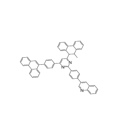 CC1c2ccccc2-c2ccccc2C1c1cc(-c2ccc(-c3cc4ccccc4c4ccccc34)cc2)nc(-c2ccc(-c3cnc4ccccc4c3)cc2)n1